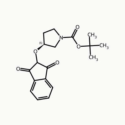 CC(C)(C)OC(=O)N1CC[C@H](OC2C(=O)c3ccccc3C2=O)C1